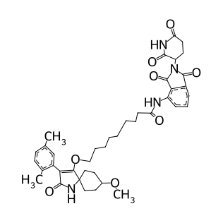 COC1CCC2(CC1)NC(=O)C(c1cc(C)ccc1C)=C2OCCCCCCCCC(=O)Nc1cccc2c1C(=O)N(C1CCC(=O)NC1=O)C2=O